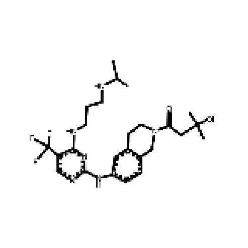 CC(C)NCCCNc1nc(Nc2ccc3c(c2)CCN(C(=O)CC(C)(C)O)C3)ncc1C(F)(F)F